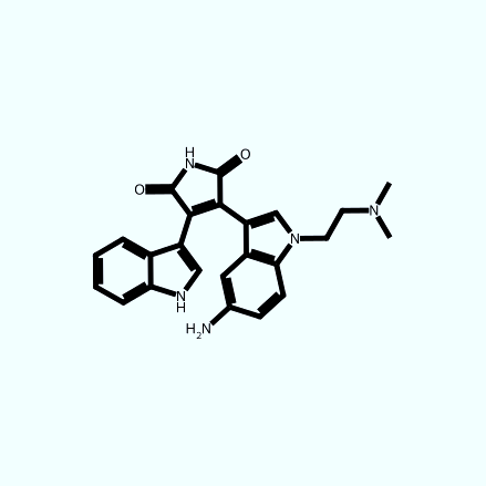 CN(C)CCn1cc(C2=C(c3c[nH]c4ccccc34)C(=O)NC2=O)c2cc(N)ccc21